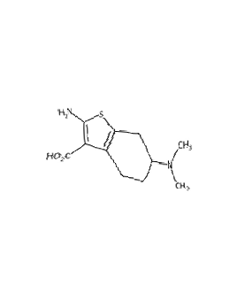 CN(C)C1CCc2c(sc(N)c2C(=O)O)C1